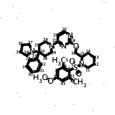 COc1cc(C)c(S(=O)(=O)N2CCCCC2COc2nccc(N3CCC(c4ccccc4)(N4CCCC4)CC3)n2)c(C)c1